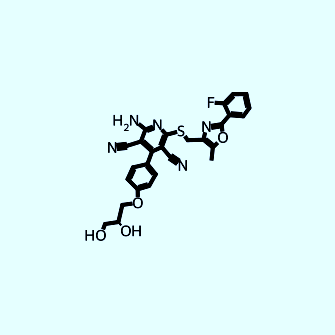 Cc1oc(-c2ccccc2F)nc1CSc1nc(N)c(C#N)c(-c2ccc(OC[C@H](O)CO)cc2)c1C#N